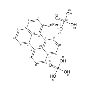 CCCCCc1ccc2cccc3c4cccc5cccc(c1c23)c54.O=P(O)(O)O.O=P(O)(O)O